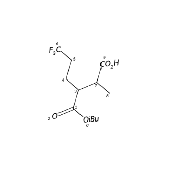 CC(C)COC(=O)C(CCC(F)(F)F)C(C)C(=O)O